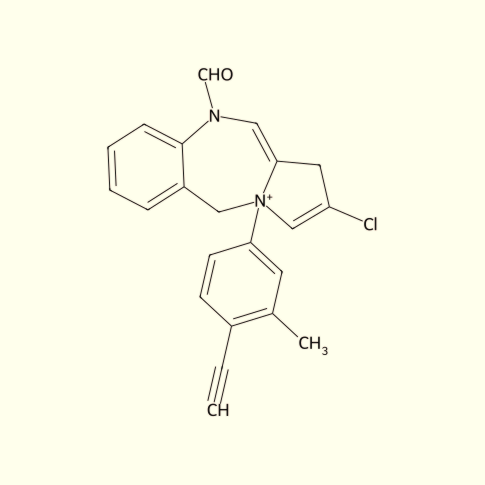 C#Cc1ccc([N+]23C=C(Cl)CC2=CN(C=O)c2ccccc2C3)cc1C